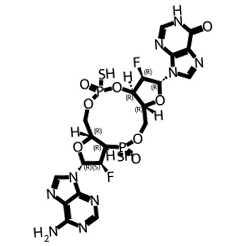 Nc1ncnc2c1ncn2[C@@H]1O[C@@H]2COP(=O)(S)O[C@H]3[C@@H](F)[C@H](n4cnc5c(=O)[nH]cnc54)O[C@@H]3COP(=O)(S)[C@H]2[C@H]1F